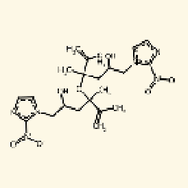 C=C(C)C(C)(CC(O)Cn1ccnc1[N+](=O)[O-])OC(C)(CC(O)Cn1ccnc1[N+](=O)[O-])C(=C)C